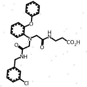 O=C(O)CCNC(=O)CN(CC(=O)NCc1cccc(Cl)c1)c1ccccc1Oc1ccccc1